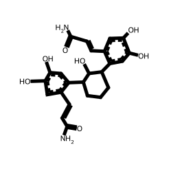 NC(=O)/C=C/c1cc(O)c(O)cc1C1CCCC(c2cc(O)c(O)cc2/C=C/C(N)=O)C1O